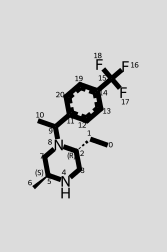 CC[C@@H]1CN[C@@H](C)CN1C(C)c1ccc(C(F)(F)F)cc1